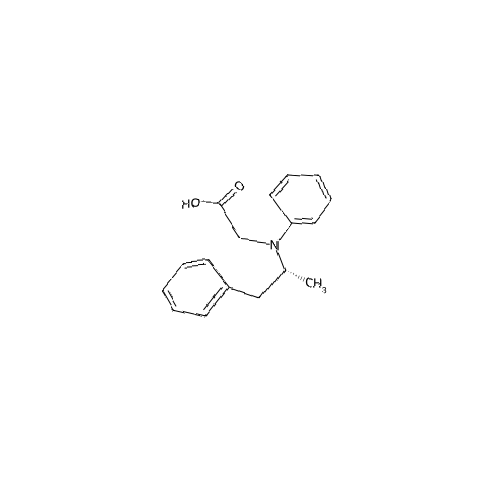 C[C@H](Cc1ccccc1)N(CC(=O)O)c1ccccc1